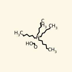 CCCCCC[N+](CCCCCC)(CCCCCC)CCCCCC.O=CO